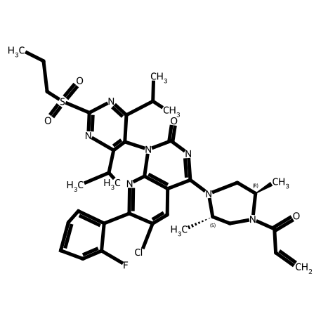 C=CC(=O)N1C[C@H](C)N(c2nc(=O)n(-c3c(C(C)C)nc(S(=O)(=O)CCC)nc3C(C)C)c3nc(-c4ccccc4F)c(Cl)cc23)C[C@H]1C